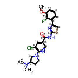 CC(=O)N(C)C1CCN(c2ncc(C(=O)Nc3nc(-c4cccc(OC(F)(F)F)c4F)cs3)cc2Cl)C1